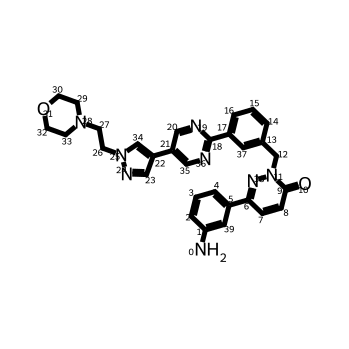 Nc1cccc(-c2ccc(=O)n(Cc3cccc(-c4ncc(-c5cnn(CCN6CCOCC6)c5)cn4)c3)n2)c1